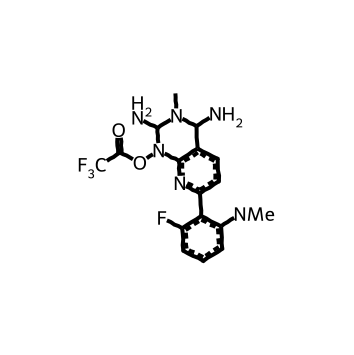 CNc1cccc(F)c1-c1ccc2c(n1)N(OC(=O)C(F)(F)F)C(N)N(C)C2N